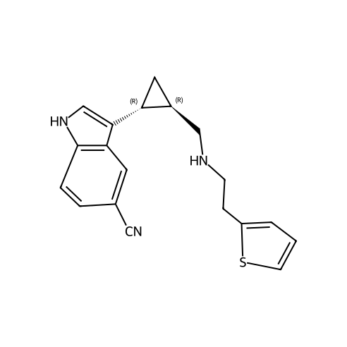 N#Cc1ccc2[nH]cc([C@@H]3C[C@H]3CNCCc3cccs3)c2c1